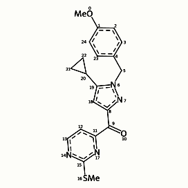 COc1ccc(Cn2nc(C(=O)c3ccnc(SC)n3)cc2C2CC2)cc1